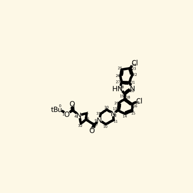 CC(C)(C)OC(=O)N1CC(C(=O)N2CCN(c3ccc(Cl)c(-c4nc5cc(Cl)ccc5[nH]4)c3)CC2)C1